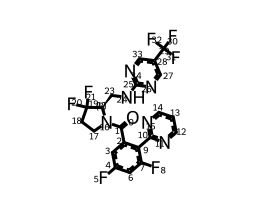 O=C(c1cc(F)cc(F)c1-c1ncccn1)N1CCC(F)(F)[C@H]1CNc1ncc(C(F)(F)F)cn1